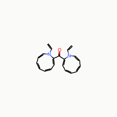 C=Cn1cccccccc1C(=O)c1cccccccn1C=C